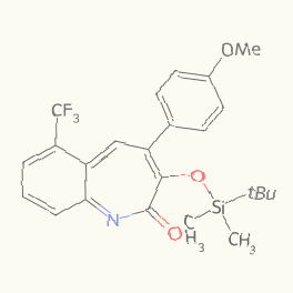 COc1ccc(-c2cc3c(C(F)(F)F)cccc3nc(=O)c2O[Si](C)(C)C(C)(C)C)cc1